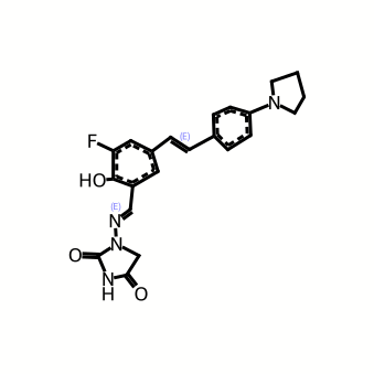 O=C1CN(/N=C/c2cc(/C=C/c3ccc(N4CCCC4)cc3)cc(F)c2O)C(=O)N1